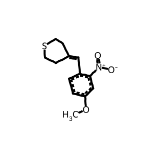 COc1ccc(C=C2CCSCC2)c([N+](=O)[O-])c1